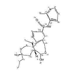 CCC[C@]1(O)CC[C@]2(CC)c3ccc(C(=O)Nc4cccnc4C)cc3COC(O)[C@@H]2C1